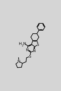 CN1CCCC1CCSc1nc(N)c2c3c(sc2n1)CC(c1ccccc1)CC3